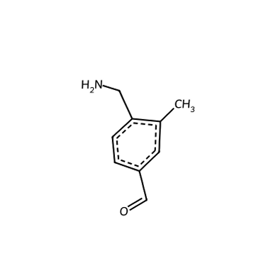 Cc1cc(C=O)ccc1CN